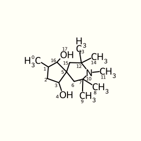 CC1CC(O)C2(CC(C)(C)N(C)C(C)(C)C2)C1O